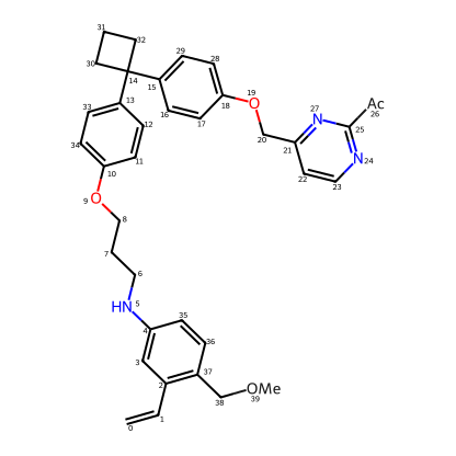 C=Cc1cc(NCCCOc2ccc(C3(c4ccc(OCc5ccnc(C(C)=O)n5)cc4)CCC3)cc2)ccc1COC